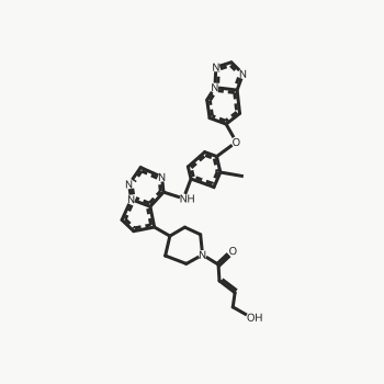 Cc1cc(Nc2ncnn3ccc(C4CCN(C(=O)/C=C/CO)CC4)c23)ccc1Oc1ccn2ncnc2c1